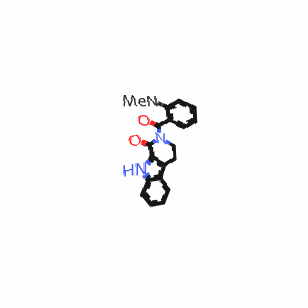 CNc1ccccc1C(=O)N1CCc2c([nH]c3ccccc23)C1=O